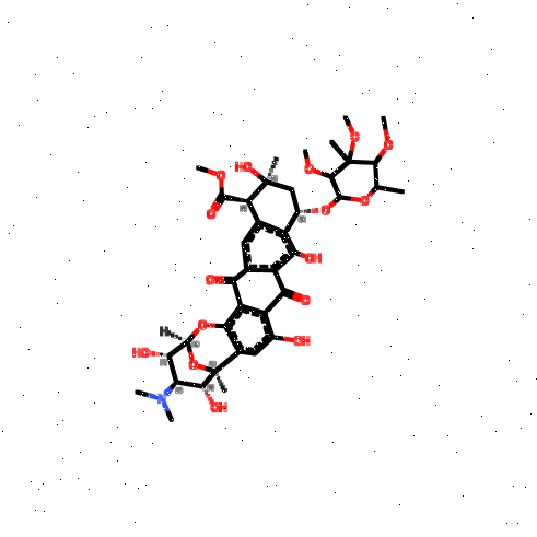 COC(=O)[C@@H]1c2cc3c(c(O)c2[C@@H](OC2OC(C)C(OC)C(C)(OC)C2OC)C[C@]1(C)O)C(=O)c1c(O)cc2c(c1C3=O)O[C@H]1O[C@]2(C)[C@H](O)[C@@H](N(C)C)[C@@H]1O